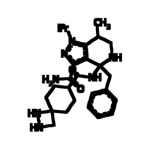 CC1CNC(Cc2ccccc2)(NC(=O)C2CCC3(CC2)CNN3)c2c(C(N)=O)nn(C(C)C)c21